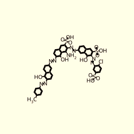 Cc1ccc(N=Nc2ccc3cc(N=Nc4ccc5cc(S(=O)(=O)O)c(N=Nc6ccc7cc(S(=O)(=O)O)c(N=Nc8cc(S(=O)(=O)O)ccc8Cl)c(O)c7c6)c(N)c5c4O)ccc3c2O)cc1